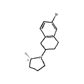 C[C@H]1CCCN1C1CCc2cc(Br)ccc2C1